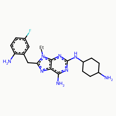 CCn1c(Cc2cc(F)ccc2N)nc2c(N)nc(NC3CCC(N)CC3)nc21